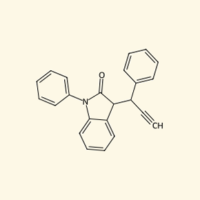 C#CC(c1ccccc1)C1C(=O)N(c2ccccc2)c2ccccc21